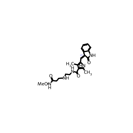 CONC(=O)CCNCCNC(=O)c1c(C)[nH]c(/C=C2\C(=O)Nc3ccccc32)c1C